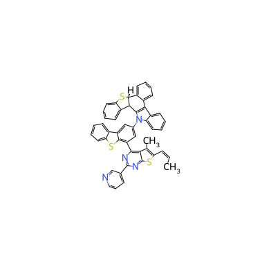 C/C=C\c1sc2nc(-c3cccnc3)nc(-c3cc(-n4c5c(c6ccccc64)-c4ccccc4[C@H]4Sc6ccccc6C54)cc4c3sc3ccccc34)c2c1C